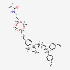 C=Cc1ccc([Si](C)(C)[Si](C)(C[Si](C)(C)[Si](C)(C)C[Si](C[Si](C)(C)C)(C[Si](C)(C)C)c2ccc(/C=C/C[Si]3(C)O[Si](C)(C)O[Si](C)(CCCNC(=O)C(=C)C)O[Si](C)(C)O3)cc2)c2ccc(C=C)cc2)cc1